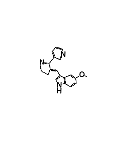 COc1ccc2[nH]cc(C=C3CCCN=C3c3cccnc3)c2c1